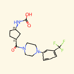 O=C(O)N[C@@H]1CC[C@H](C(=O)N2CCN(c3cccc(C(F)(F)F)c3)CC2)C1